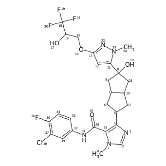 Cn1cnc(C2CC3CC(O)(c4cc(OCC(O)C(F)(F)F)nn4C)CC3C2)c1C(=O)Nc1ccc(F)c(Cl)c1